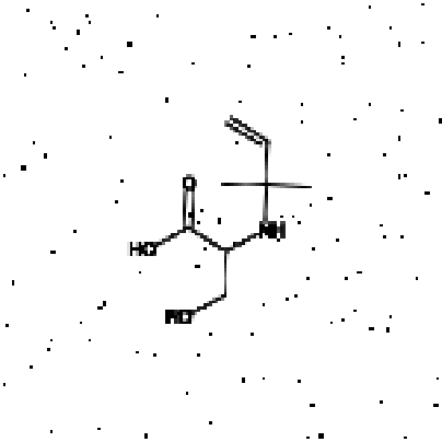 C=CC(C)(C)NC(CO)C(=O)O